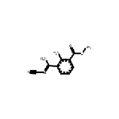 COC(=O)c1cccc(C(N)=NC#N)c1N